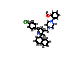 COc1ccccc1N1CCN(CC2=CC(c3ccc(Cl)cc3)=NC2(C)c2cccc3ccccc23)CC1